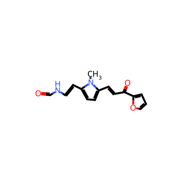 Cn1c(/C=C/NC=O)ccc1/C=C/C(=O)c1ccco1